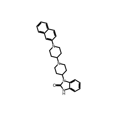 O=c1[nH]c2ccccc2n1C1CCN(C2CCN(c3ccc4ccccc4c3)CC2)CC1